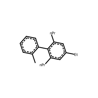 CCCc1cc(CC)cc(CCC)c1-c1ccccc1C